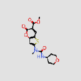 COC(=O)c1cc2sc(N(C)C(=O)NC3CCOCC3)cc2oc1=O